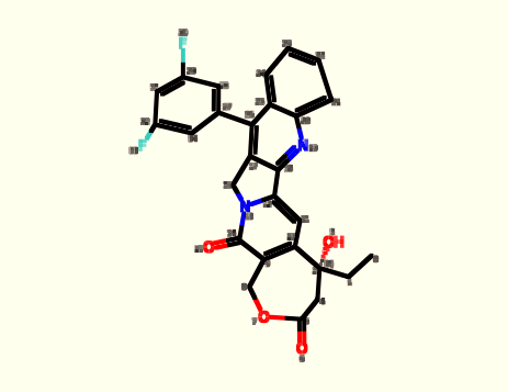 CC[C@@]1(O)CC(=O)OCc2c1cc1n(c2=O)Cc2c-1nc1ccccc1c2-c1cc(F)cc(F)c1